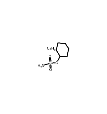 NS(=O)(=O)OC1CCCCC1.[CaH2]